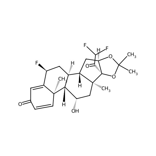 CC1(C)O[C@@H]2C[C@H]3[C@@H]4C[C@H](F)C5=CC(=O)C=C[C@]5(C)[C@H]4[C@@H](O)C[C@]3(C)[C@]2(C(=O)C(F)F)O1